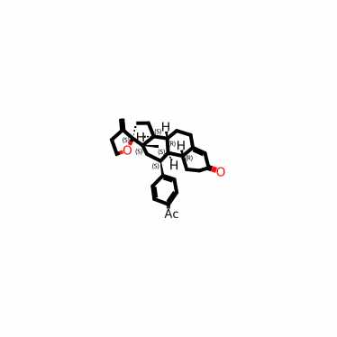 C=C1CCO[C@@]12CC[C@H]1[C@@H]3CCC4=CC(=O)CC[C@@H]4[C@H]3[C@@H](c3ccc(C(C)=O)cc3)C[C@@]12C